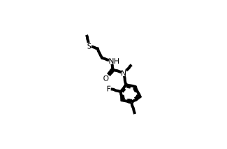 CSCCNC(=O)N(C)c1ccc(C)cc1F